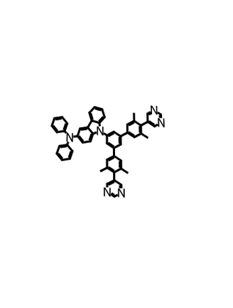 Cc1cc(-c2cc(-c3cc(C)c(-c4cncnc4)c(C)c3)cc(-n3c4ccccc4c4cc(N(c5ccccc5)c5ccccc5)ccc43)c2)cc(C)c1-c1cncnc1